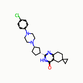 O=c1[nH]c([C@@H]2CC[C@@H](N3CCN(c4ccc(Cl)cc4)CC3)C2)nc2c1CC1(CC2)CC1